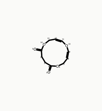 O=C1CCC(=O)OCC=COC=CCO1